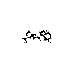 CC(=O)N1CCOC2(C1)CN(C(=O)[C@@H]1CC[C@@H]3CCC[C@H](N)C(=O)N31)C2